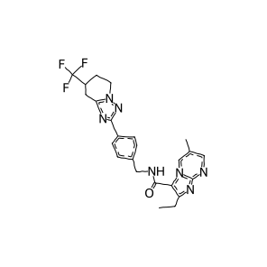 CCc1nc2ncc(C)cn2c1C(=O)NCc1ccc(-c2nc3n(n2)CCC(C(F)(F)F)C3)cc1